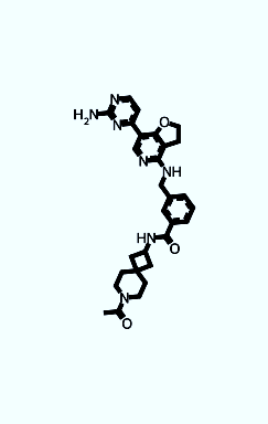 CC(=O)N1CCC2(CC1)CC(NC(=O)c1cccc(CNc3ncc(-c4ccnc(N)n4)c4c3CCO4)c1)C2